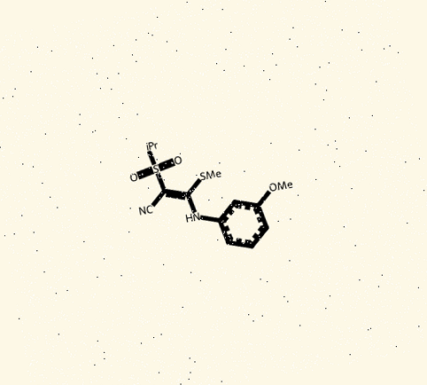 COc1cccc(N/C(SC)=C(\C#N)S(=O)(=O)C(C)C)c1